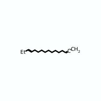 C=C=CCCCCCCCCCC=CCC